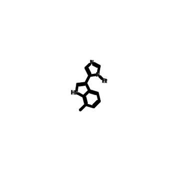 CCn1cncc1-c1c[nH]c2c(C)cccc12